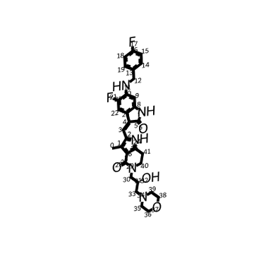 Cc1c(C=C2C(=O)Nc3cc(NCc4ccc(F)cc4)c(F)cc32)[nH]c2c1C(=O)N(C[C@H](O)CN1CCOCC1)CC2